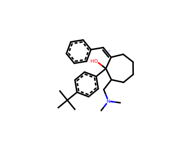 CN(C)CC1CCCC/C(=C/c2ccccc2)C1(O)c1ccc(C(C)(C)C)cc1